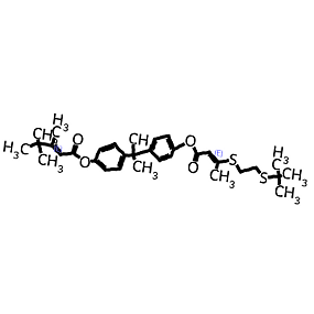 C/C(=C\C(=O)Oc1ccc(C(C)(C)c2ccc(OC(=O)/C=C(\C)C(C)(C)C)cc2)cc1)SCCSC(C)(C)C